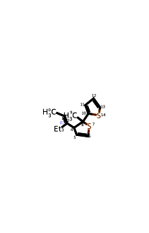 C/C=C(\CC)C1C=CSC1(C)c1cccs1